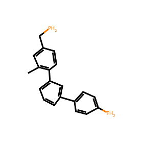 Cc1cc(CP)ccc1-c1cccc(-c2ccc(P)cc2)c1